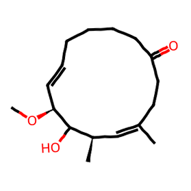 CO[C@H]1/C=C/CCCCC(=O)CC/C(C)=C\[C@@H](C)C1O